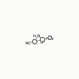 N#Cc1ccc(-c2ncc(-n3ccnc3)cc2N)cc1